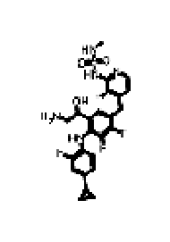 CNS(=O)(=O)Nc1nccc(Cc2cc(C(O)CN)c(Nc3ccc(C4CC4)cc3F)c(F)c2F)c1F